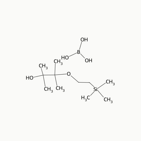 CC(C)(O)C(C)(C)OCC[Si](C)(C)C.OB(O)O